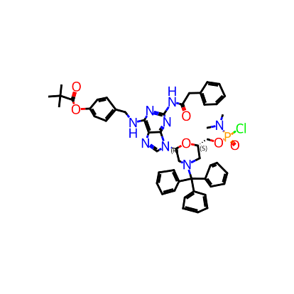 CN(C)P(=O)(Cl)OC[C@@H]1CN(C(c2ccccc2)(c2ccccc2)c2ccccc2)C[C@H](n2cnc3c(NCc4ccc(OC(=O)C(C)(C)C)cc4)nc(NC(=O)Cc4ccccc4)nc32)O1